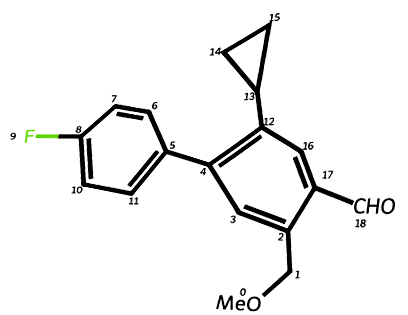 COCc1cc(-c2ccc(F)cc2)c(C2CC2)cc1C=O